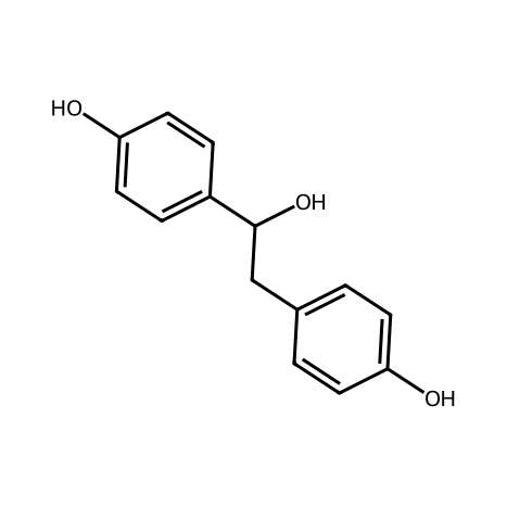 Oc1ccc(CC(O)c2ccc(O)cc2)cc1